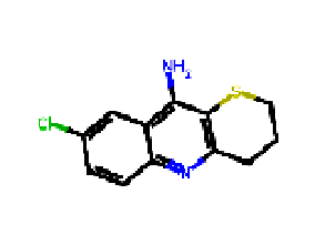 Nc1c2c(nc3ccc(Cl)cc13)CCCS2